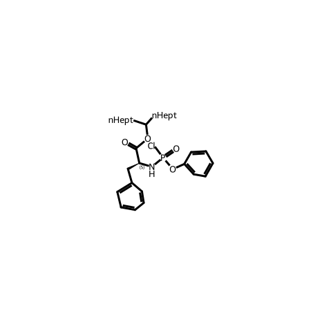 CCCCCCCC(CCCCCCC)OC(=O)[C@H](Cc1ccccc1)NP(=O)(Cl)Oc1ccccc1